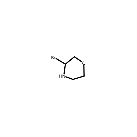 BrC1COC[CH]N1